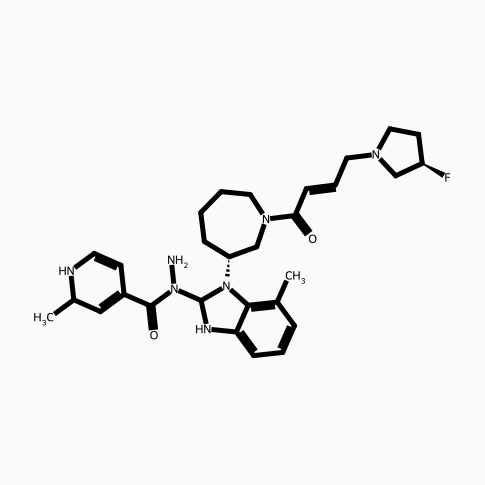 Cc1cccc2c1N([C@@H]1CCCCN(C(=O)/C=C/CN3CC[C@@H](F)C3)C1)C(N(N)C(=O)C1=CC(C)NC=C1)N2